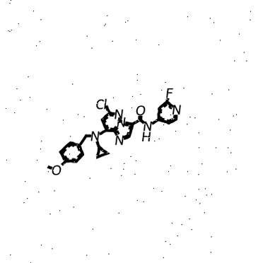 COc1ccc(CN(c2cc(Cl)nn3c(C(=O)Nc4ccnc(F)c4)cnc23)C2CC2)cc1